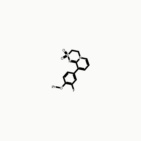 CC(C)Oc1ccc(C2=CC=CN3CCS(=O)(=O)N=C23)cc1F